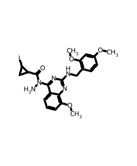 COc1ccc(CNc2nc(N(N)C(=O)C3CC3I)c3cccc(OC)c3n2)c(OC)c1